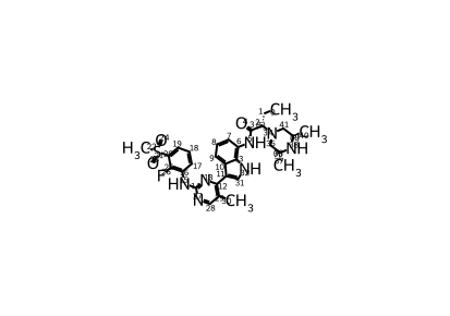 CC[C@@H](C(=O)Nc1cccc2c(-c3nc(Nc4cccc(S(C)(=O)=O)c4F)ncc3C)c[nH]c12)N1C[C@@H](C)N[C@H](C)C1